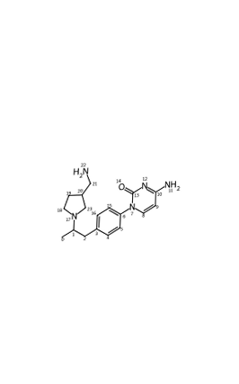 CC(Cc1ccc(-n2ccc(N)nc2=O)cc1)N1CCC(CN)C1